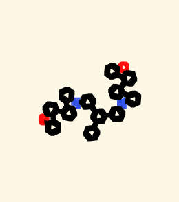 c1ccc(-c2cc(-c3cccc(-n4c5ccccc5c5c(-c6cccc7oc8ccccc8c67)cccc54)c3)cc(-c3cccc(-n4c5ccccc5c5c(-c6cccc7oc8ccccc8c67)cccc54)c3)c2)cc1